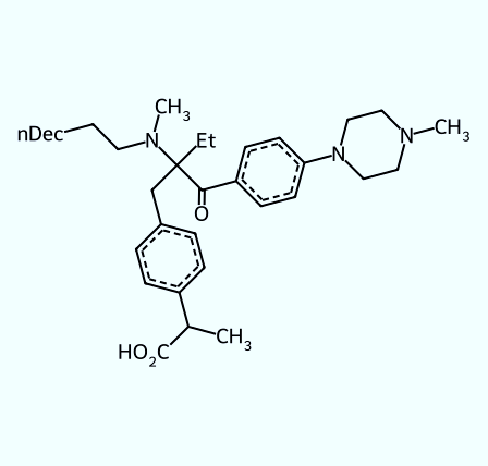 CCCCCCCCCCCCN(C)C(CC)(Cc1ccc(C(C)C(=O)O)cc1)C(=O)c1ccc(N2CCN(C)CC2)cc1